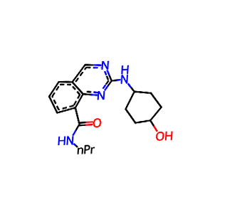 CCCNC(=O)c1cccc2cnc(NC3CCC(O)CC3)nc12